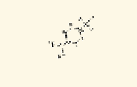 CC(C)(C)N1CCC(C(F)F)CC1